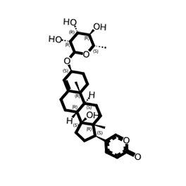 C[C@@H]1OC(O[C@@H]2C=C3CC[C@@H]4[C@H](CC[C@]5(C)[C@@H](c6ccc(=O)oc6)CC[C@]45O)[C@@]3(C)CC2)[C@H](O)[C@H](O)[C@H]1O